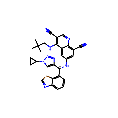 CC(C)(C)CNc1c(C#N)cnc2c(C#N)cc(N[C@@H](c3cn(C4CC4)nn3)c3cccc4ncsc34)cc12